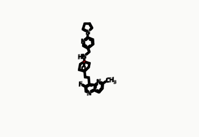 Cc1ccc2ncc(F)c(CCC34CCC(NCc5ccc(N6CCCC6)nc5)(CC3)CO4)c2n1